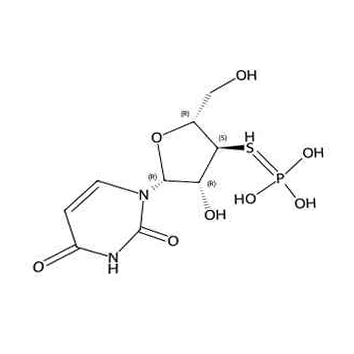 O=c1ccn([C@@H]2O[C@H](CO)[C@@H]([SH]=P(O)(O)O)[C@@H]2O)c(=O)[nH]1